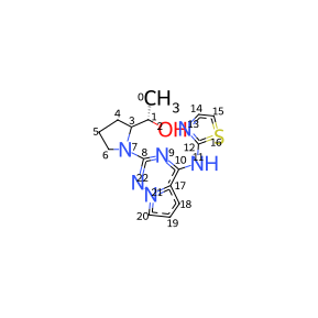 C[C@H](O)C1CCCN1c1nc(Nc2nccs2)c2cccn2n1